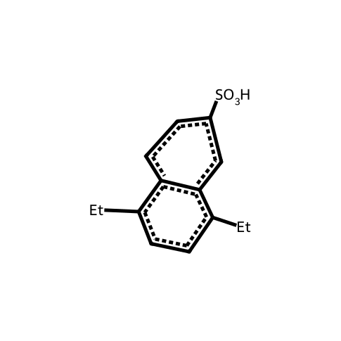 CCc1ccc(CC)c2cc(S(=O)(=O)O)ccc12